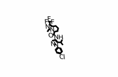 Cc1nc(C(F)(F)F)c2n1C(C(=O)Nc1cnn(-c3ccc(Cl)cc3)c1C(C)C)CCC2